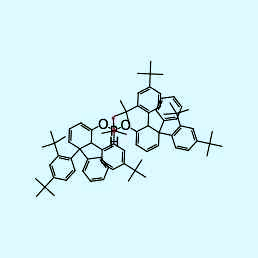 CC(C)(C)c1ccc(C2C(OPOC3=CC=CC(c4ccccc4)(c4ccc(C(C)(C)C)cc4C(C)(C)C)C3c3ccc(C(C)(C)C)cc3C(C)(C)C)=CC=CC2(c2ccccc2)c2ccc(C(C)(C)C)cc2C(C)(C)C)c(C(C)(C)C)c1